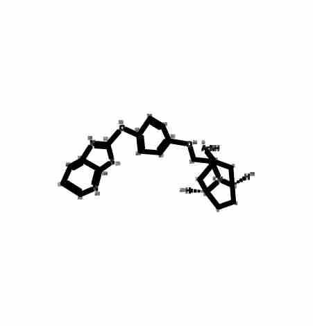 CC(=O)NC1C[C@H]2CC[C@@H](C1)N2CCOc1ccc(Oc2nc3cccnc3s2)cc1